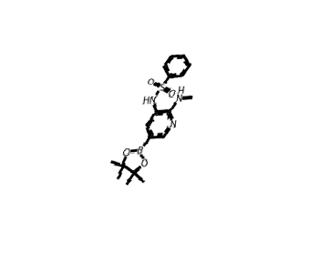 CNc1ncc(B2OC(C)(C)C(C)(C)O2)cc1NS(=O)(=O)c1ccccc1